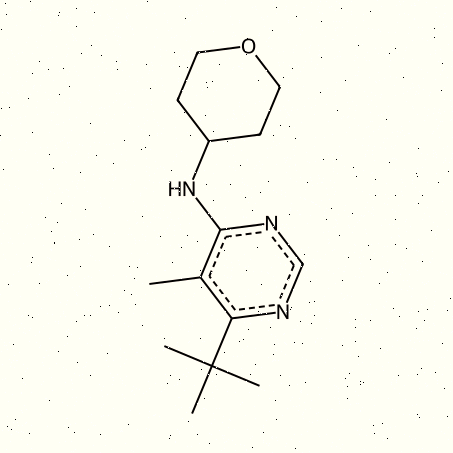 Cc1c(NC2CCOCC2)ncnc1C(C)(C)C